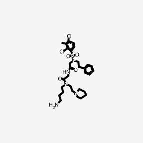 Cc1c(Cl)ccc(S(=O)(=O)N(CCc2ccccc2)CC(=O)NCC(=O)N(CCCCN)CCN2CCCCC2)c1Cl